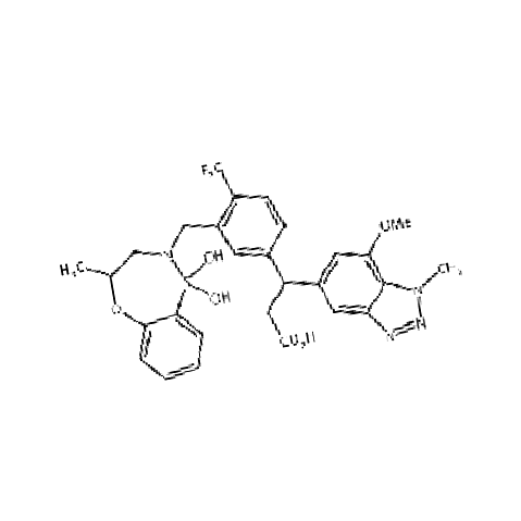 COc1cc(C(CC(=O)O)c2ccc(C(F)(F)F)c(CN3CC(C)Oc4ccccc4S3(O)O)c2)cc2nnn(C)c12